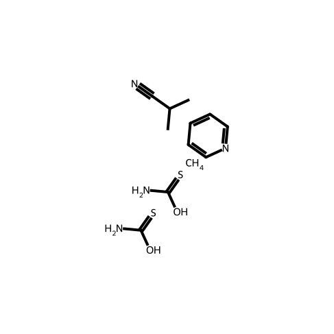 C.CC(C)C#N.NC(O)=S.NC(O)=S.c1ccncc1